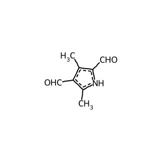 Cc1[nH]c(C=O)c(C)c1C=O